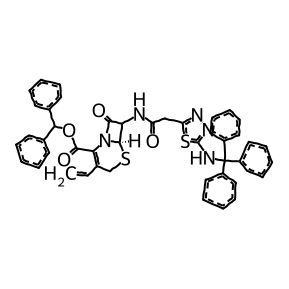 C=CC1=C(C(=O)OC(c2ccccc2)c2ccccc2)N2C(=O)C(NC(=O)Cc3nnc(NC(c4ccccc4)(c4ccccc4)c4ccccc4)s3)[C@H]2SC1